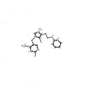 Cc1ncc(C[n+]2csc(CCOc3ccccn3)c2C)c(N)n1.[Cl-]